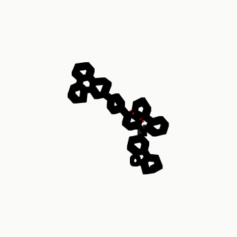 c1ccc(-c2ccccc2N(c2ccc(-c3ccc(-c4ccc5c6ccccc6c6ccccc6c5c4)cc3)cc2)c2ccc3oc4ccccc4c3c2)cc1